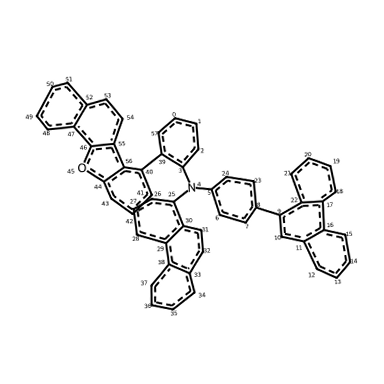 c1ccc(N(c2ccc(-c3cc4ccccc4c4ccccc34)cc2)c2cccc3c2ccc2ccccc23)c(-c2cccc3oc4c5ccccc5ccc4c23)c1